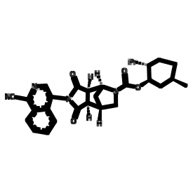 CC(C)[C@@H]1CC[C@@H](C)C[C@H]1OC(=O)N1C[C@H]2C[C@H]1[C@@H]1C(=O)N(c3cnc(C#N)c4ccccc34)C(=O)[C@H]21